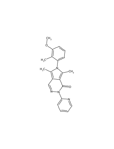 COc1cccc(-n2c(C)c3cnn(-c4ccccn4)c(=O)c3c2C)c1C